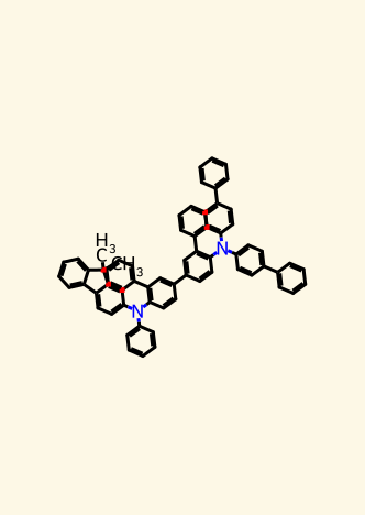 CC1(C)c2ccccc2-c2ccc(N(c3ccccc3)c3ccc(-c4ccc(N(c5ccc(-c6ccccc6)cc5)c5ccc(-c6ccccc6)cc5)c(-c5ccccc5)c4)cc3-c3ccccc3)cc21